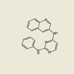 [c]1ccc(Nc2nccc(Nc3cnc4ccccc4c3)n2)cc1